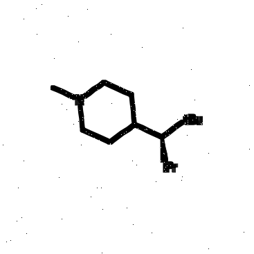 CC(C)[C@@H](C1CCN(C)CC1)C(C)(C)C